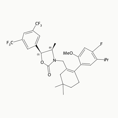 COc1cc(F)c(C(C)C)cc1C1=C(CN2C(=O)O[C@@H](c3cc(C(F)(F)F)cc(C(F)(F)F)c3)[C@H]2C)CC(C)(C)CC1